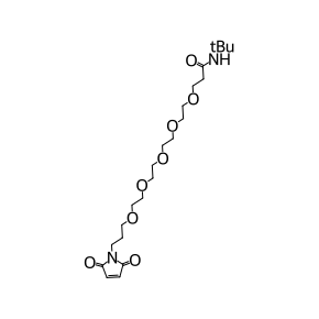 CC(C)(C)NC(=O)CCOCCOCCOCCOCCOCCCN1C(=O)C=CC1=O